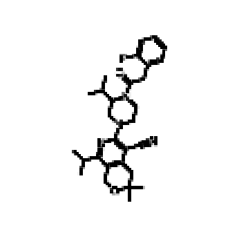 CC(C)c1nc(N2CCN(C(=O)Cc3ccccc3F)C(C(C)C)C2)c(C#N)c2c1COC(C)(C)C2